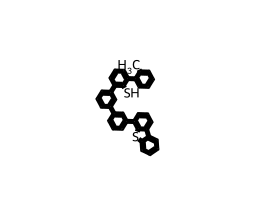 Cc1ccccc1-c1cccc(-c2cccc(-c3cccc(-c4cccc5c4sc4ccccc45)c3)c2)c1S